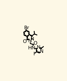 Cc1ncc(I)c(NC(=O)Cn2nc(C(C)C)c3cc(Br)ccc3c2=O)n1